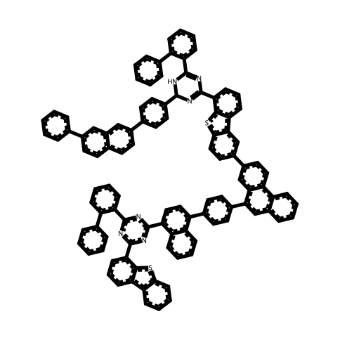 c1ccc(-c2ccc3ccc(-c4ccc(C5N=C(c6cccc7c6sc6ccc(-c8ccc9c(c8)c(-c8ccc(-c%10ccc(-c%11nc(-c%12ccccc%12-c%12ccccc%12)nc(-c%12cccc%13c%12sc%12ccccc%12%13)n%11)c%11ccccc%10%11)cc8)cc8ccccc89)cc67)N=C(c6ccccc6-c6ccccc6)N5)cc4)cc3c2)cc1